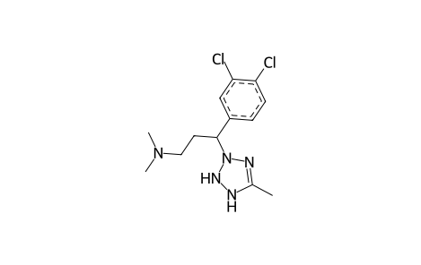 CC1=NN(C(CCN(C)C)c2ccc(Cl)c(Cl)c2)NN1